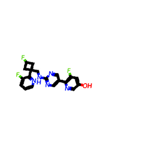 Oc1cnc(-c2cnc(NCC3(c4ncccc4F)CC(F)C3)nc2)c(F)c1